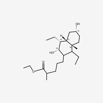 CCOC(=O)C(C)CCCC1C(CC)[C@@]2(C)CC[C@@H](O)C[C@H]2[C@@H](CC)[C@H]1O